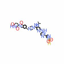 CC(C)n1nc(N2CCN(Cc3ccc4c(c3)CN(C3CCC(=O)NC3=O)C4=O)CC2)c2cnc(Nc3ccnc(-c4cnn([SH](=O)=O)c4)n3)cc21